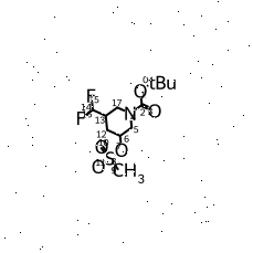 CC(C)(C)OC(=O)N1CC(OS(C)(=O)=O)CC(C(F)F)C1